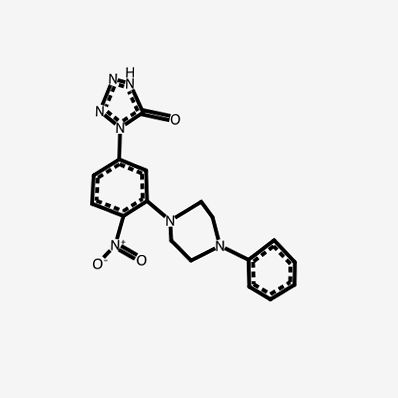 O=c1[nH]nnn1-c1ccc([N+](=O)[O-])c(N2CCN(c3ccccc3)CC2)c1